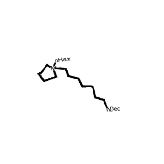 CCCCCCCCCCCCCCCCC[N+]1(CCCCCC)CCCC1